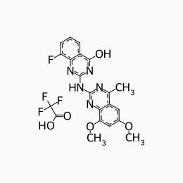 COc1cc(OC)c2nc(Nc3nc(O)c4cccc(F)c4n3)nc(C)c2c1.O=C(O)C(F)(F)F